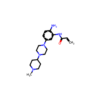 C=CC(=O)Nc1cc(N2CCN(C3CCN(C)CC3)CC2)ccc1N